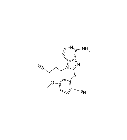 C#CCCCn1c(Sc2cc(OC)ccc2C#N)nc2c(N)nccc21